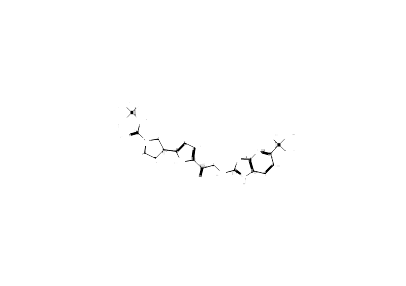 CC(C)(C)OC(=O)N1CCC(c2ccc(C(=O)CSc3nc4ccc(C(F)(F)F)nc4o3)s2)C1